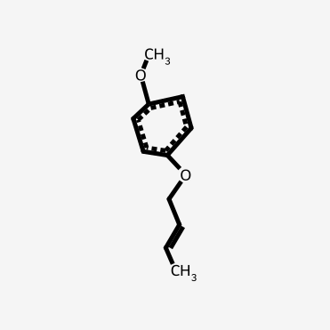 CC=CCOc1ccc(OC)cc1